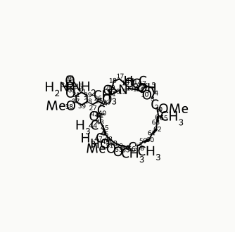 CO[C@H]1CC2CC[C@@H](C)[C@@](O)(O2)C(=O)C(=O)N2CCCCC2C(=O)O[C@H]([C@H](C)C[C@@H]2CC[C@@H](OP(N)(N)=O)[C@H](OC)C2)CC(=O)[C@H](C)/C=C(\C)[C@@H](O)[C@@H](OC)C(=O)[C@H](C)C[C@H](C)/C=C/C=C/C=C/1C